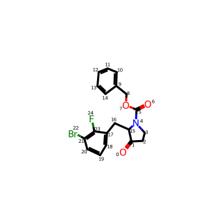 O=C1CCN(C(=O)OCc2ccccc2)C1Cc1cccc(Br)c1F